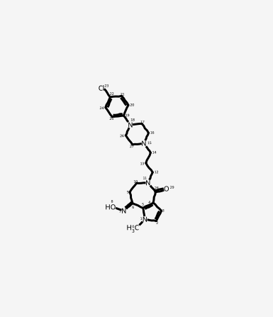 Cn1ccc2c1C(=NO)CCN(CCCN1CCN(c3ccc(Cl)cc3)CC1)C2=O